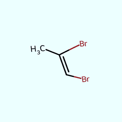 CC(Br)=CBr